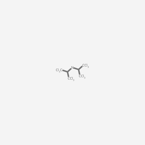 ClC(Cl)(Cl)C([N]C(C(Cl)(Cl)Cl)C(Cl)(Cl)Cl)C(Cl)(Cl)Cl